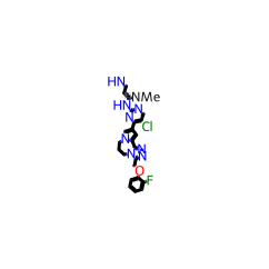 CN/C(=C\C=N)Nc1ncc(Cl)c(-c2cc3n(c2)CCCn2c(COc4ccccc4F)nnc2-3)n1